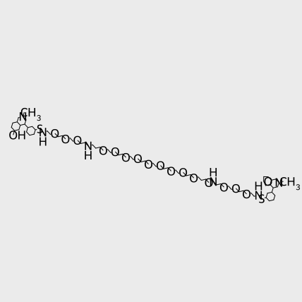 CN1CC2CCC(O)CC2C(C2CCCC(SNCCOCCOCCOCCNCCCOCCOCCOCCOCCOCCOCCOCCOCCOCCCONCCOCCOCCOCCNSC3CCCC(C4CN(C)CC5C6CC(CC45)O6)C3)C2)C1